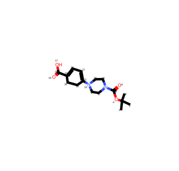 CC(C)(C)OC(=O)N1CCN(C2=CC=C(C(=O)O)CC2)CC1